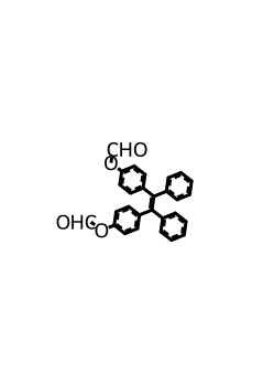 O=COc1ccc(C(=C(c2ccccc2)c2ccc(OC=O)cc2)c2ccccc2)cc1